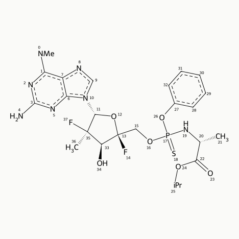 CNc1nc(N)nc2c1ncn2[C@@H]1O[C@](F)(COP(=S)(N[C@H](C)C(=O)OC(C)C)Oc2ccccc2)[C@@H](O)[C@@]1(C)F